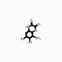 CCc1cc2c(c([N+](=O)[O-])c1CC)[N]C(=O)C(=O)N2